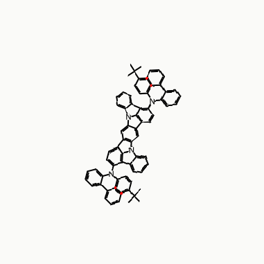 CC(C)(C)c1ccc(N(c2ccccc2-c2ccccc2)c2ccc3c4cc5c(cc4n4c6ccccc6c2c34)c2ccc(N(c3ccc(C(C)(C)C)cc3)c3ccccc3-c3ccccc3)c3c4ccccc4n5c23)cc1